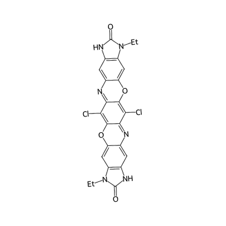 CCn1c(=O)[nH]c2cc3c(cc21)Oc1c(Cl)c2c(c(Cl)c1=N3)Oc1cc3c(cc1N=2)[nH]c(=O)n3CC